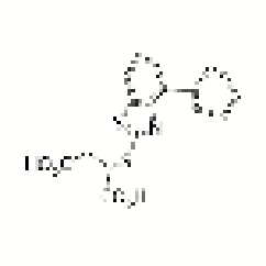 O=C(O)CC(Sc1nc2c(-c3ccccc3)cccc2s1)C(=O)O